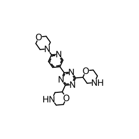 c1cc(N2CCOCC2)ncc1-c1nc(C2CNCCO2)nc(C2CNCCO2)n1